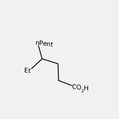 CCCCCC(CC)CCC(=O)O